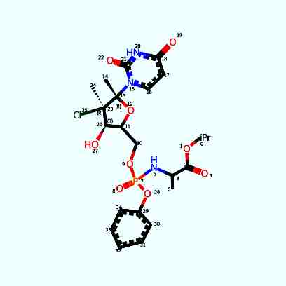 CC(C)OC(=O)C(C)NP(=O)(OCC1O[C@@](C)(n2ccc(=O)[nH]c2=O)[C@](C)(Cl)[C@@H]1O)Oc1ccccc1